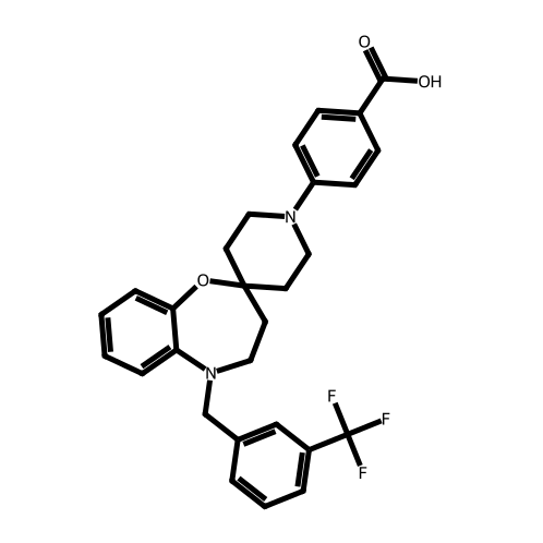 O=C(O)c1ccc(N2CCC3(CC2)CCN(Cc2cccc(C(F)(F)F)c2)c2ccccc2O3)cc1